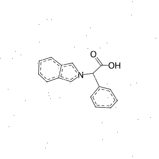 O=C(O)C(c1ccccc1)n1cc2ccccc2c1